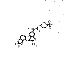 CS(=O)(=O)N1CCC(CC(=O)Nc2ccc3c(c2)nc(C(F)(F)F)n3Cc2cccc3c2OC(F)(F)O3)CC1